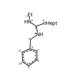 CCCCCCCC(NCC)NCc1ccccc1